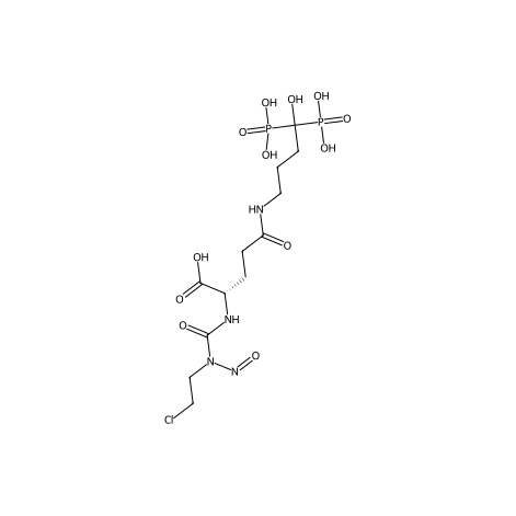 O=NN(CCCl)C(=O)N[C@@H](CCC(=O)NCCCC(O)(P(=O)(O)O)P(=O)(O)O)C(=O)O